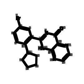 O=c1nc(-c2cc(Br)ccc2N2CCCC2)[nH]c2nccnc12